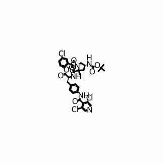 COC(=O)[C@H](Cc1ccc(NC(=O)c2c(Cl)cncc2Cl)cc1)NC(=O)C1(C)C[C@@H](NC(=O)OC(C)(C)C)CN1S(=O)(=O)c1cccc(Cl)c1